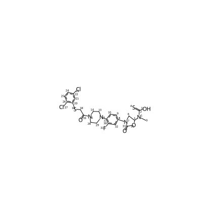 CN(C(O)=S)C1CN(c2ccc(N3CCN(C(=O)CSc4cc(Cl)ccc4Cl)CC3)c(F)c2)C(=O)O1